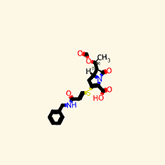 C[C@@H](OC=O)[C@H]1C(=O)N2C(C(=O)O)=C(SC=CC(=O)NCc3ccccc3)C[C@H]12